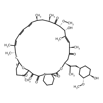 CO[C@@H]1C[C@@H](CC(C)[C@@H]2CC(=O)[C@H](C)/C=C(\C)[C@@H](O)[C@@H](OC)C(=O)[C@H](C)C[C@H](C)/C=C/C=C/C=C(/C)[C@@H](C)C[C@@H]3CC[C@@H](C)[C@@](O)(O3)C(=O)C(=O)N3CCCC[C@H]3C(=O)O2)CC[C@H]1O